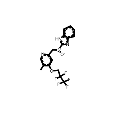 Cc1cnc(C[S+]([O-])c2nc3ccccc3[nH]2)cc1OCC(F)(F)C(F)(F)F